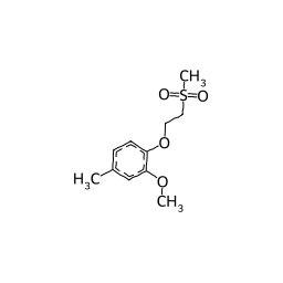 COc1cc(C)ccc1OCCS(C)(=O)=O